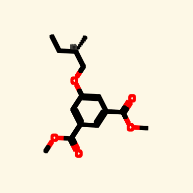 CC[C@H](C)COc1cc(C(=O)OC)cc(C(=O)OC)c1